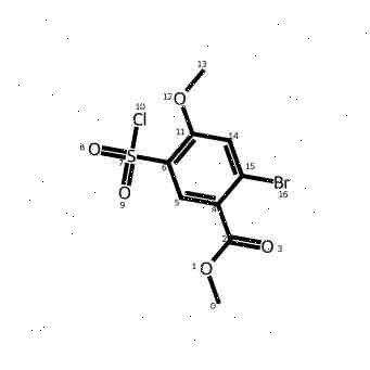 COC(=O)c1cc(S(=O)(=O)Cl)c(OC)cc1Br